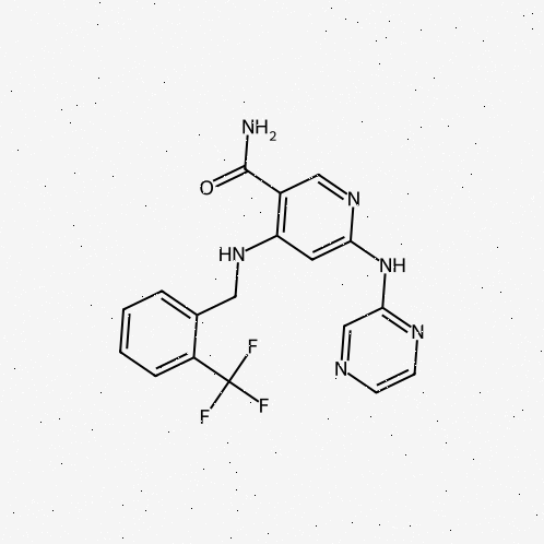 NC(=O)c1cnc(Nc2cnccn2)cc1NCc1ccccc1C(F)(F)F